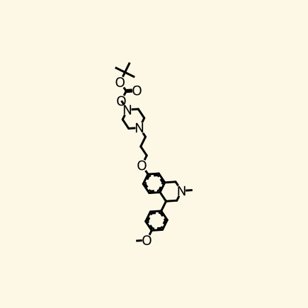 COc1ccc(C2CN(C)Cc3cc(OCCCN4CCN(OC(=O)OC(C)(C)C)CC4)ccc32)cc1